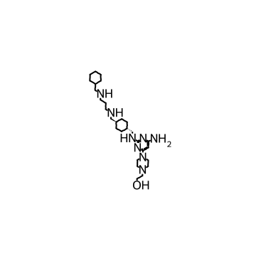 Nc1cc(N2CCN(CCO)CC2)nc(NC[C@H]2CC[C@H](CNCCCNCC3CCCCC3)CC2)n1